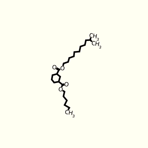 CCCCCCOC(=O)C1CCCC(C(=O)OCCCCCCCCCC(C)C)C1